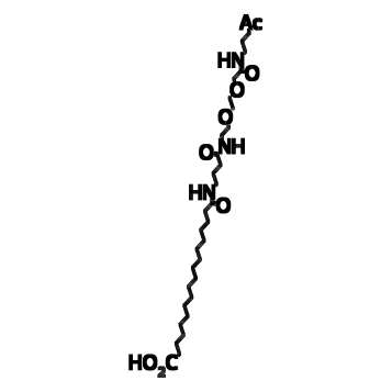 CC(=O)CCCNC(=O)COCCOCCNC(=O)CCCNC(=O)CCCCCCCCCCCCCCCCC(=O)O